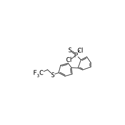 FC(F)(F)CSc1ccc(-c2ccccc2P(=S)(Cl)Cl)cc1